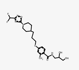 Cc1cc(OCCCC2CCN(c3nc(C(F)F)no3)CC2)ccc1C(=O)NCC(O)CO